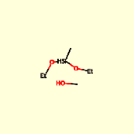 CCO[SiH](C)OCC.CO